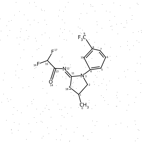 CC1CN(c2cccc(C(F)(F)F)c2)C(=NC(=O)C(F)F)S1